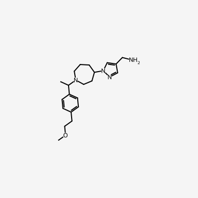 COCCc1ccc(C(C)N2CCCC(n3cc(CN)cn3)CC2)cc1